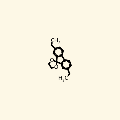 CCc1ccc2c(c1)C1(OCCO1)c1cc(CC)ccc1-2